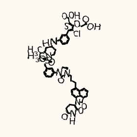 CC1(C)C[C@@H](Nc2cccc(-c3sc(C(=O)O)c(OCC(=O)O)c3Cl)c2)CCN1S(=O)(=O)Cc1cccc(N2CCN(CCCc3ccc4c5c(cccc35)C(=O)N4C3CCC(=O)NC3=O)C2=O)c1